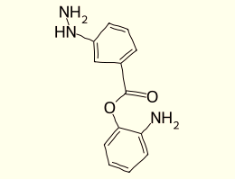 NNc1cccc(C(=O)Oc2ccccc2N)c1